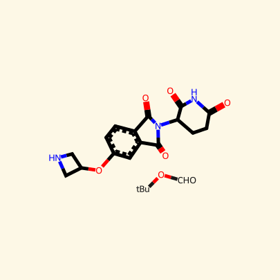 CC(C)(C)OC=O.O=C1CCC(N2C(=O)c3ccc(OC4CNC4)cc3C2=O)C(=O)N1